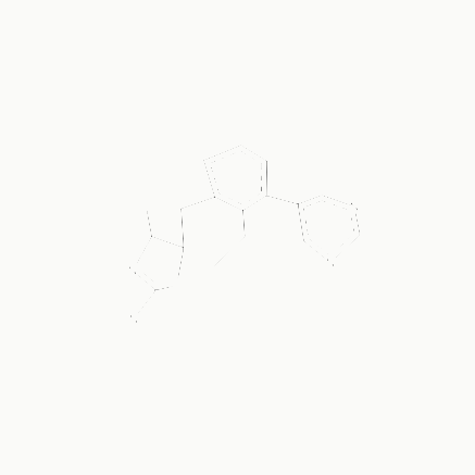 CC1N=C(N)O[C@@]12CCc1c(cccc1-c1cncnc1)C2